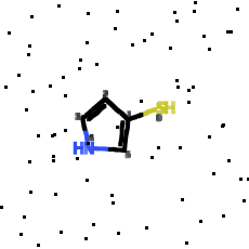 Sc1cc[nH]c1